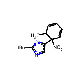 CC1C=CC=CC1(c1c[nH]c(C(C)(C)C)n1)[N+](=O)[O-]